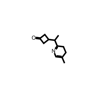 CC1=CN=C(C(C)C2CC(=O)C2)CC1